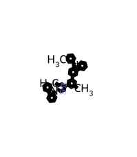 C=C/C=C(\C=C/Cn1c2ccccc2c2ccccc21)c1cc(C)cc(-c2ccc3c(c2)c2ccccc2n3-c2cccc(C)c2)c1